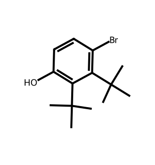 CC(C)(C)c1c(O)ccc(Br)c1C(C)(C)C